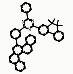 CC1(C)c2ccccc2-c2ccc(-c3nc(-c4ccccc4)nc(-c4cccc(-c5cc6ccc7ccccc7c6c6ccc7ccccc7c56)c4)n3)cc2C1(C)C